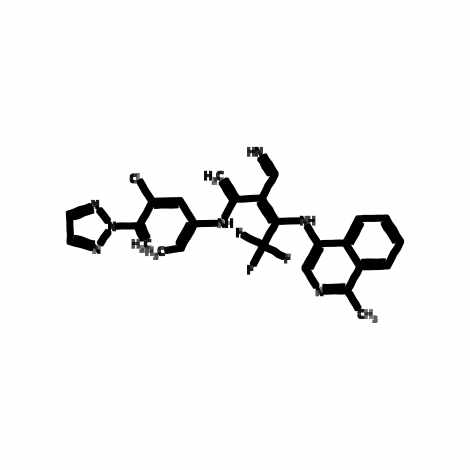 C=C(NC(=C/C)/C=C(/Cl)C(=C)n1nccn1)/C(C=N)=C(/Nc1cnc(C)c2ccccc12)C(F)(F)F